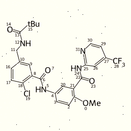 COc1ccc(NC(=O)c2cc(CNC(=O)C(C)(C)C)ccc2Cl)cc1C(=O)Nc1cc(C(F)(F)F)ccn1